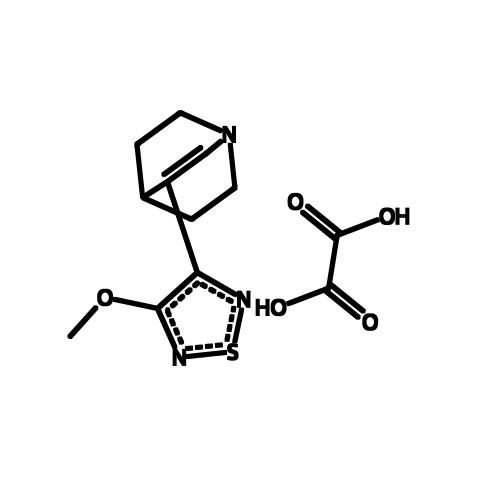 COc1nsnc1C1=CN2CCC1CC2.O=C(O)C(=O)O